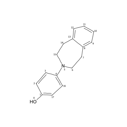 Oc1ccc(N2CCc3ccccc3CC2)cc1